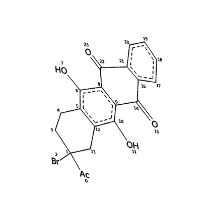 CC(=O)C1(Br)CCc2c(O)c3c(c(O)c2C1)C(=O)c1ccccc1C3=O